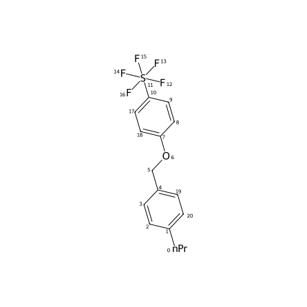 CCCc1ccc(COc2ccc(S(F)(F)(F)(F)F)cc2)cc1